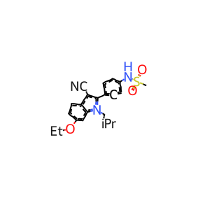 CCOc1ccc2c(C#N)c(-c3ccc(NS(C)(=O)=O)cc3)n(CC(C)C)c2c1